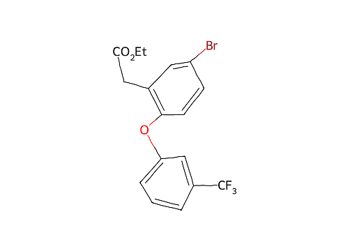 CCOC(=O)Cc1cc(Br)ccc1Oc1cccc(C(F)(F)F)c1